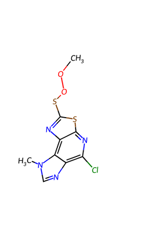 COOSc1nc2c(nc(Cl)c3ncn(C)c32)s1